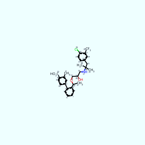 Cc1cc(-c2ccccc2C(C)OC[C@H](O)CNC(C)(C)Cc2ccc(Cl)c(C(F)(F)F)c2)ccc1C(=O)O